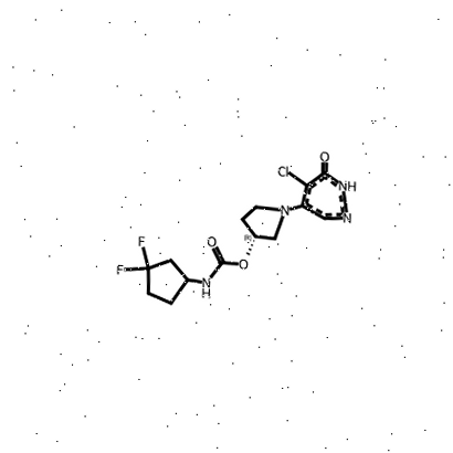 O=C(NC1CCC(F)(F)C1)O[C@@H]1CCN(c2cn[nH]c(=O)c2Cl)C1